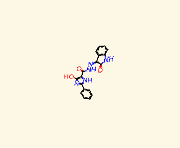 O=C1Nc2ccccc2/C1=N/NC(=O)c1[nH]c(-c2ccccc2)nc1O